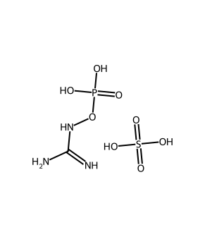 N=C(N)NOP(=O)(O)O.O=S(=O)(O)O